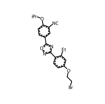 [C-]#[N+]c1cc(-c2nc(-c3ccc(OCCBr)cc3CC)no2)ccc1OC(C)C